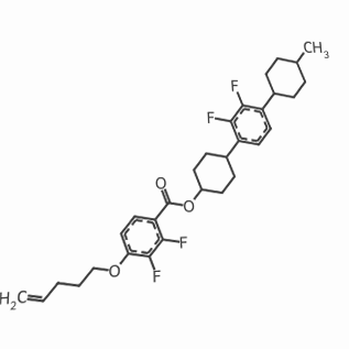 C=CCCCOc1ccc(C(=O)OC2CCC(c3ccc(C4CCC(C)CC4)c(F)c3F)CC2)c(F)c1F